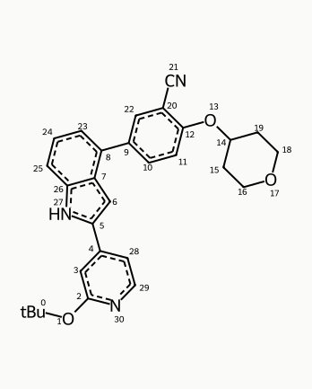 CC(C)(C)Oc1cc(-c2cc3c(-c4ccc(OC5CCOCC5)c(C#N)c4)cccc3[nH]2)ccn1